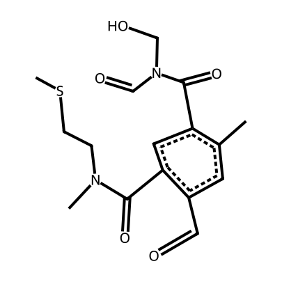 CSCCN(C)C(=O)c1cc(C(=O)N(C=O)CO)c(C)cc1C=O